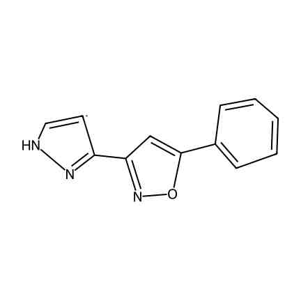 [c]1c[nH]nc1-c1cc(-c2ccccc2)on1